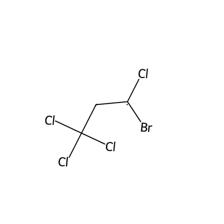 Cl[C](Br)CC(Cl)(Cl)Cl